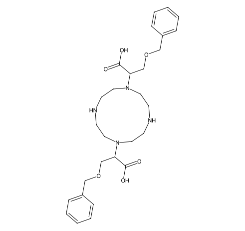 O=C(O)C(COCc1ccccc1)N1CCNCCN(C(COCc2ccccc2)C(=O)O)CCNCC1